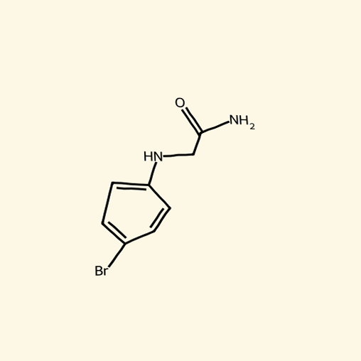 NC(=O)CNc1ccc(Br)cc1